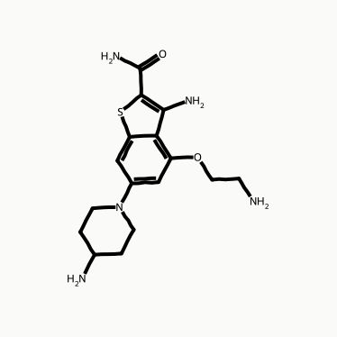 NCCOc1cc(N2CCC(N)CC2)cc2sc(C(N)=O)c(N)c12